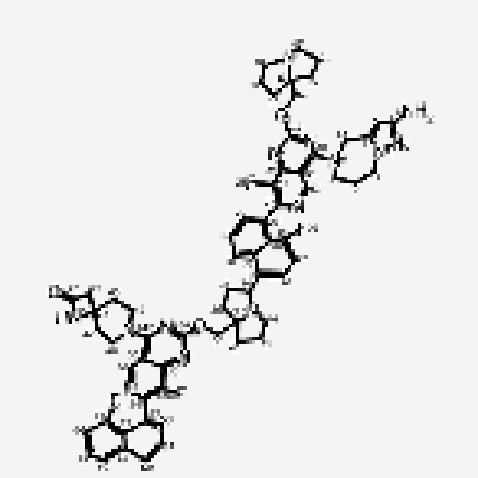 Nc1cc2n(n1)CCCN(c1nc(OCC34CCCN3CCC4)nc3c(F)c(-c4cccc5c(C6CCC7(COc8nc(N9CCC%10(CC9)CC(=O)N%10)c9cnc(-c%10cccc%11cccc(F)c%10%11)c(F)c9n8)CCCN67)ccc(F)c45)ncc13)C2